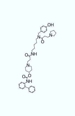 O=C(CCN1CCC(OC(=O)Nc2ccccc2-c2ccccc2)CC1)NCCCCCN(Cc1ccc(O)cc1)C(=O)CCN1CCCC1